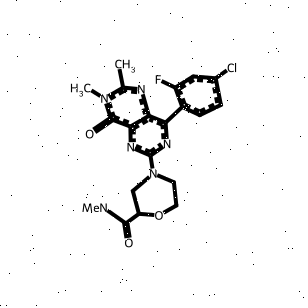 CNC(=O)C1CN(c2nc(-c3ccc(Cl)cc3F)c3nc(C)n(C)c(=O)c3n2)CCO1